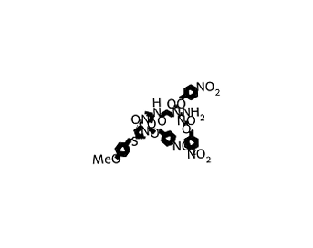 COc1ccc(CS[C@H]2C[C@@H](C(=O)N3CC(NC(=O)CCN(C(=O)OCc4ccc([N+](=O)[O-])cc4)C(N)=NC(=O)OCc4ccc([N+](=O)[O-])cc4)C3)N(C(=O)OCc3ccc([N+](=O)[O-])cc3)C2)cc1